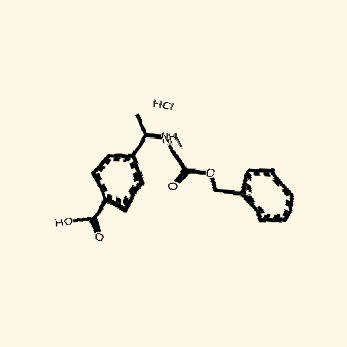 CC(NC(=O)OCc1ccccc1)c1ccc(C(=O)O)cc1.Cl